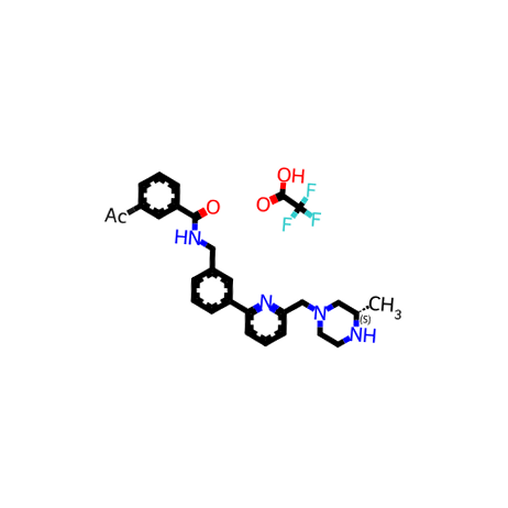 CC(=O)c1cccc(C(=O)NCc2cccc(-c3cccc(CN4CCN[C@@H](C)C4)n3)c2)c1.O=C(O)C(F)(F)F